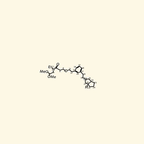 CCN(CC(OC)OC)C(=O)CCOCCc1cccc(CCN2CC3CCC[C@@H]3C2)c1